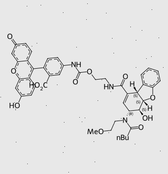 CCCCC(=O)N(CCOC)[C@@H]1C=C(C(=O)NCCOC(=O)Nc2ccc(-c3c4ccc(=O)cc-4oc4cc(O)ccc34)c(C(=O)O)c2)[C@@H]2c3ccccc3O[C@@H]2[C@H]1O